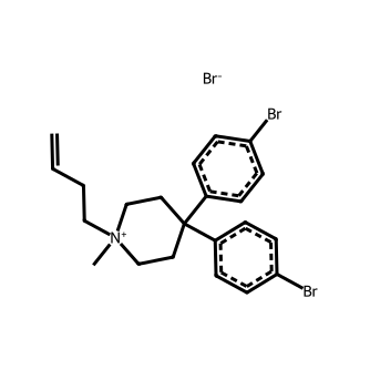 C=CCC[N+]1(C)CCC(c2ccc(Br)cc2)(c2ccc(Br)cc2)CC1.[Br-]